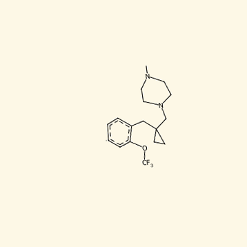 CN1CCN(CC2(Cc3cc[c]cc3OC(F)(F)F)CC2)CC1